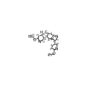 Cc1cc2ncc(-c3ccc(OC(C)C)nc3)n2cc1-c1ccc(OC(C)(C)C)nc1